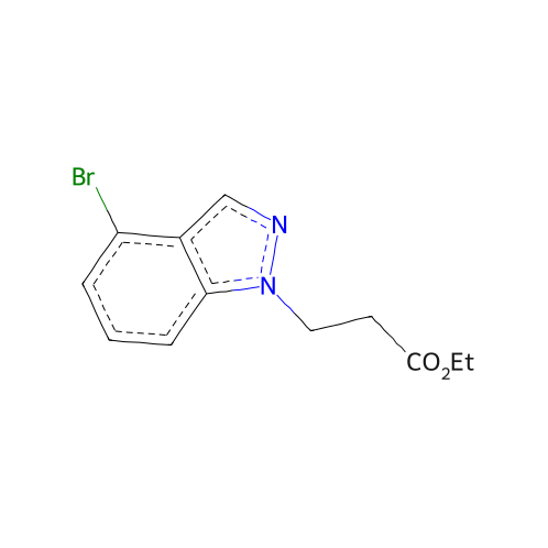 CCOC(=O)CCn1ncc2c(Br)cccc21